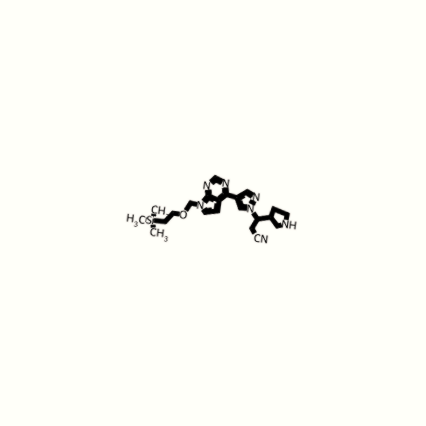 C[Si](C)(C)CCOCn1ccc2c(-c3cnn(C(CC#N)C4CCNC4)c3)ncnc21